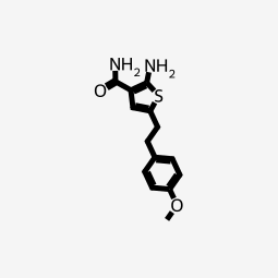 COc1ccc(CCc2cc(C(N)=O)c(N)s2)cc1